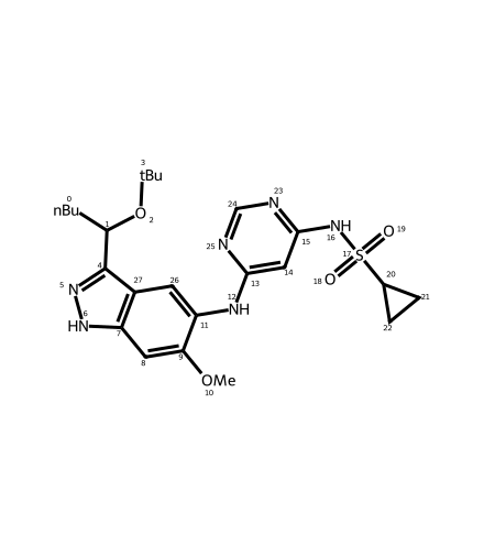 CCCCC(OC(C)(C)C)c1n[nH]c2cc(OC)c(Nc3cc(NS(=O)(=O)C4CC4)ncn3)cc12